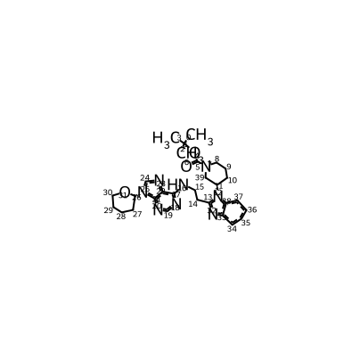 CC(C)(C)OC(=O)N1CCC[C@@H](n2c(CCNc3ncnc4c3ncn4[C@@H]3CCCCO3)nc3ccccc32)C1